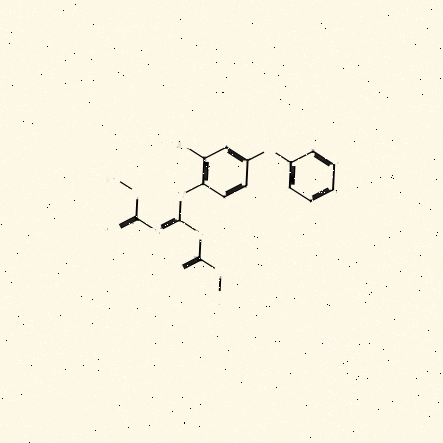 CC(=O)Nc1cc(Oc2ccccc2)ccc1NC(=NC(=O)OC(C)C)NC(=O)OC(C)C